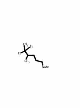 CCC(C)(CC)C(C)CCCNC